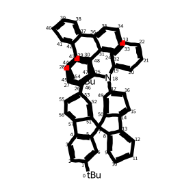 CC(C)(C)c1ccc2c(c1)C1(c3ccccc3-c3ccc(N(c4ccccc4)c4ccccc4-c4ccccc4-c4ccccc4-c4ccccc4)cc31)c1cc(C(C)(C)C)ccc1-2